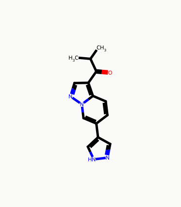 CC(C)C(=O)c1cnn2cc(-c3cn[nH]c3)ccc12